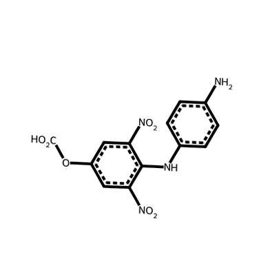 Nc1ccc(Nc2c([N+](=O)[O-])cc(OC(=O)O)cc2[N+](=O)[O-])cc1